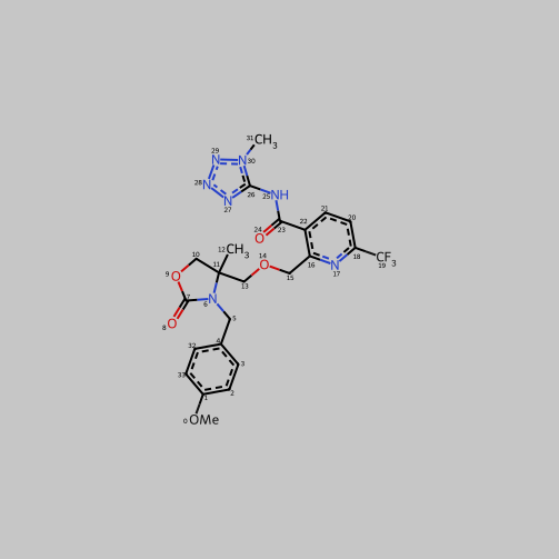 COc1ccc(CN2C(=O)OCC2(C)COCc2nc(C(F)(F)F)ccc2C(=O)Nc2nnnn2C)cc1